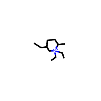 CCC1CCC(C)[N+](CC)(CC)C1